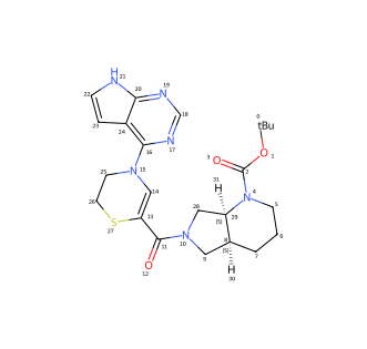 CC(C)(C)OC(=O)N1CCC[C@H]2CN(C(=O)C3=CN(c4ncnc5[nH]ccc45)CCS3)C[C@H]21